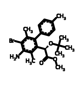 COC(=O)[C@@H](OC(C)(C)C)c1c(C)c(N)c(Br)c(C)c1-c1ccc(C)cc1